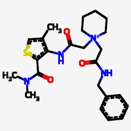 Cc1csc(C(=O)N(C)C)c1NC(=O)C[N+]1(CC(=O)NCc2ccccc2)CCCCC1